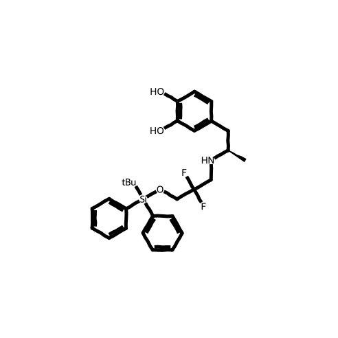 C[C@H](Cc1ccc(O)c(O)c1)NCC(F)(F)CO[Si](c1ccccc1)(c1ccccc1)C(C)(C)C